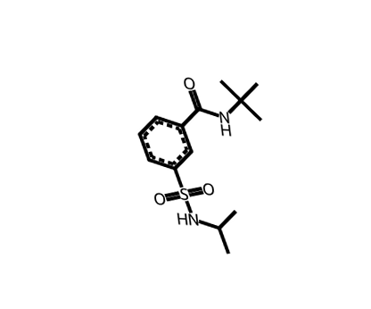 CC(C)NS(=O)(=O)c1cccc(C(=O)NC(C)(C)C)c1